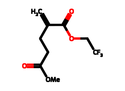 C=C(CCC(=O)OC)C(=O)OCC(F)(F)F